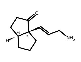 NCC=C[C@@]12CCC[C@H]1CCC2=O